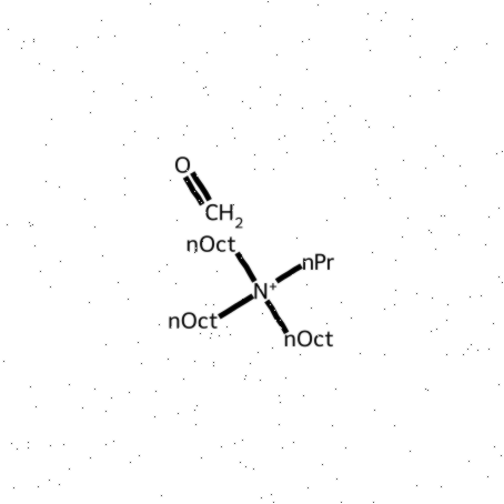 C=O.CCCCCCCC[N+](CCC)(CCCCCCCC)CCCCCCCC